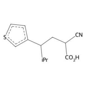 CC(C)C(CC(C#N)C(=O)O)c1ccsc1